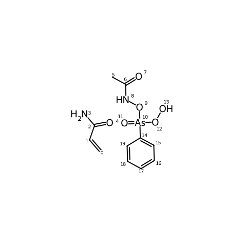 C=CC(N)=O.CC(=O)NO[As](=O)(OO)c1ccccc1